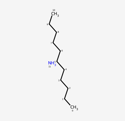 CCCCCCCCCCC.N